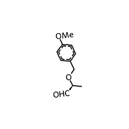 COc1ccc(CO[C@@H](C)C=O)cc1